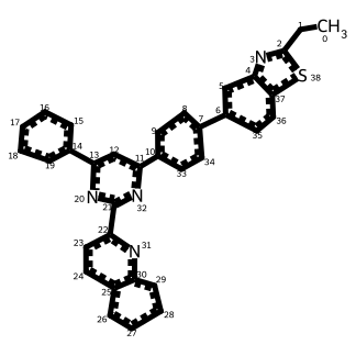 CCc1nc2cc(-c3ccc(-c4cc(-c5ccccc5)nc(-c5ccc6ccccc6n5)n4)cc3)ccc2s1